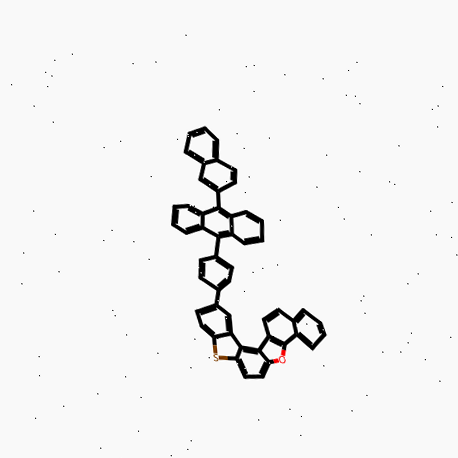 c1ccc2cc(-c3c4ccccc4c(-c4ccc(-c5ccc6sc7ccc8oc9c%10ccccc%10ccc9c8c7c6c5)cc4)c4ccccc34)ccc2c1